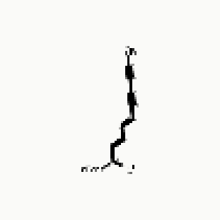 CCCC#CC#C/C=C/C=C/[C@@H](O)CCCCC